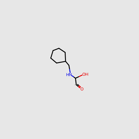 O=[C]C(O)NCC1CCCCC1